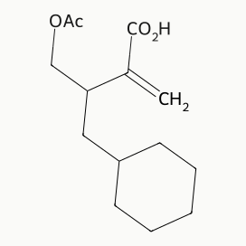 C=C(C(=O)O)C(COC(C)=O)CC1CCCCC1